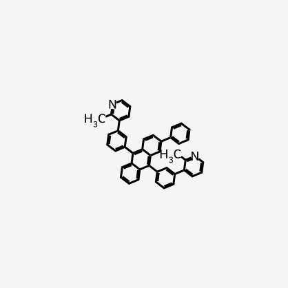 Cc1ncccc1-c1cccc(-c2c3ccccc3c(-c3cccc(-c4cccnc4C)c3)c3cc(-c4ccccc4)ccc23)c1